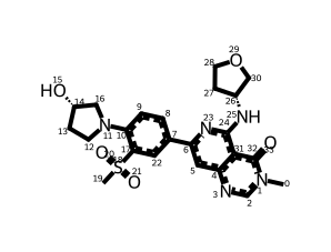 Cn1cnc2cc(-c3ccc(N4CC[C@H](O)C4)c(S(C)(=O)=O)c3)nc(N[C@@H]3CCOC3)c2c1=O